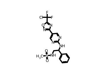 CS(=O)(=O)NCC(Nc1ncc(-c2noc(C(F)(F)Cl)n2)cn1)c1ccccc1